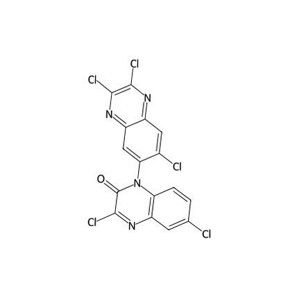 O=c1c(Cl)nc2cc(Cl)ccc2n1-c1cc2nc(Cl)c(Cl)nc2cc1Cl